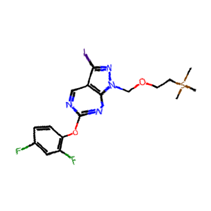 CS(C)(C)CCOCn1nc(I)c2cnc(Oc3ccc(F)cc3F)nc21